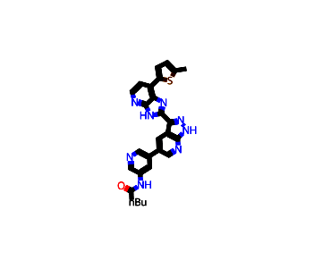 CCCCC(=O)Nc1cncc(-c2cnc3[nH]nc(-c4nc5c(-c6ccc(C)s6)ccnc5[nH]4)c3c2)c1